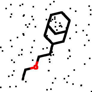 CCOCCC1CC2CCCC(C2)C1